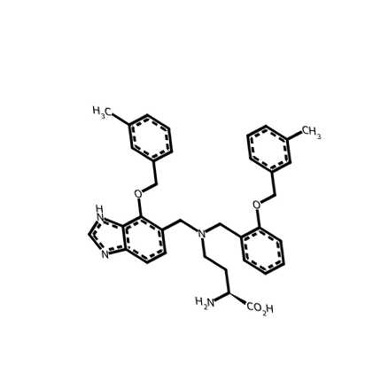 Cc1cccc(COc2ccccc2CN(CC[C@H](N)C(=O)O)Cc2ccc3nc[nH]c3c2OCc2cccc(C)c2)c1